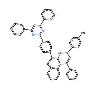 N#Cc1ccc(C2C=C(c3ccccc3)c3c(c(-c4ccc(-c5nc(-c6ccccc6)cc(-c6ccccc6)n5)cc4)cc4ccccc34)N2)cc1